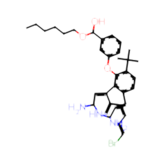 C=C(/C=C\C=C\Br)/C1=C\C(N)NC(N)/C=C/c2ccc(C(C)(C)C)c(Oc3cccc(C(O)OCCCCCC)c3)c21